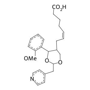 COc1ccccc1C1OC(Cc2ccncc2)OCC1C/C=C\CCCC(=O)O